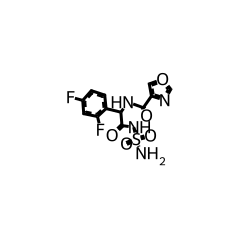 NS(=O)(=O)NC(=O)C(NC(=O)c1cocn1)c1ccc(F)cc1F